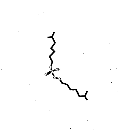 CC(C)CCCCCOOP(=O)(O)OCCCCCC(C)C